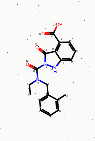 CCN(Cc1ccccc1C)C(=O)n1[nH]c2cccc(C(=O)O)c2c1=O